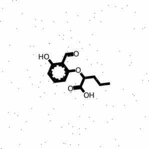 CCCC(Oc1cccc(O)c1C=O)C(=O)O